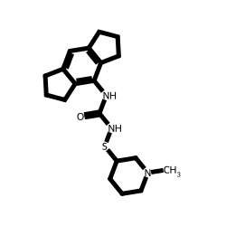 CN1CCCC(SNC(=O)Nc2c3c(cc4c2CCC4)CCC3)C1